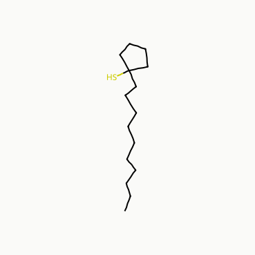 CCCCCCCCCCC1(S)CCCC1